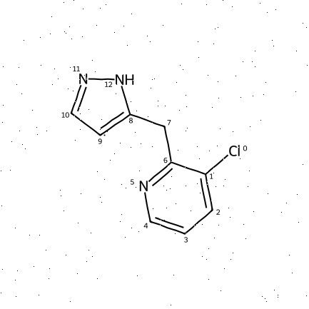 Clc1cccnc1Cc1[c]cn[nH]1